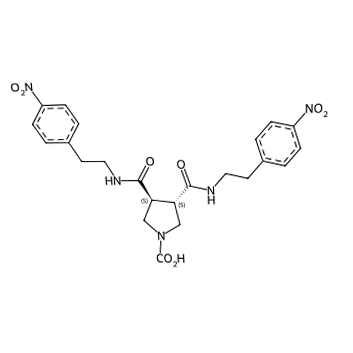 O=C(NCCc1ccc([N+](=O)[O-])cc1)[C@@H]1CN(C(=O)O)C[C@H]1C(=O)NCCc1ccc([N+](=O)[O-])cc1